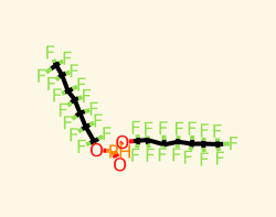 O=[PH](OC(F)(F)C(F)(F)C(F)(F)C(F)(F)C(F)(F)C(F)(F)C(F)(F)F)OC(F)(F)C(F)(F)C(F)(F)C(F)(F)C(F)(F)C(F)(F)C(F)(F)F